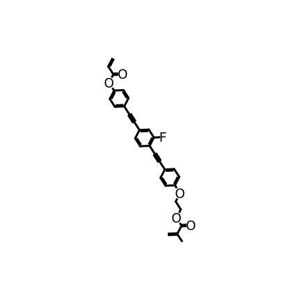 C=CC(=O)Oc1ccc(C#Cc2ccc(C#Cc3ccc(OCCOC(=O)C(=C)C)cc3)c(F)c2)cc1